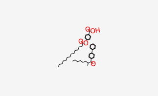 CCCCCCC(C)C(=O)c1ccc(-c2ccccc2)cc1.CCCCCCCCCCCCCC(=O)Oc1ccc(C(=O)O)cc1